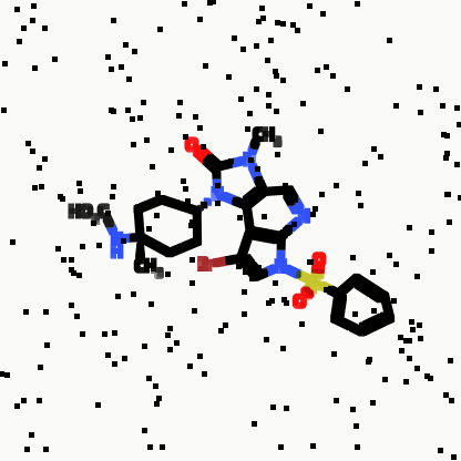 Cn1c(=O)n([C@H]2CC[C@@](C)(NC(=O)O)CC2)c2c3c(Br)cn(S(=O)(=O)c4ccccc4)c3ncc21